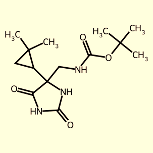 CC(C)(C)OC(=O)NCC1(C2CC2(C)C)NC(=O)NC1=O